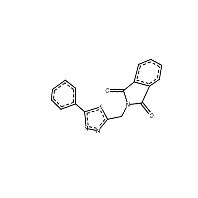 O=C1c2ccccc2C(=O)N1Cc1nnc(-c2ccccc2)s1